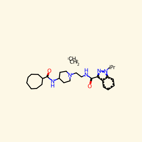 CC(C)n1nc(C(=O)NCCN2CCC(NC(=O)[C]3CCCCCCC3)CC2)c2ccccc21.[CH2].[CH2]